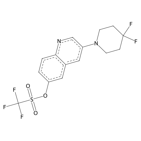 O=S(=O)(Oc1ccc2ncc(N3CCC(F)(F)CC3)cc2c1)C(F)(F)F